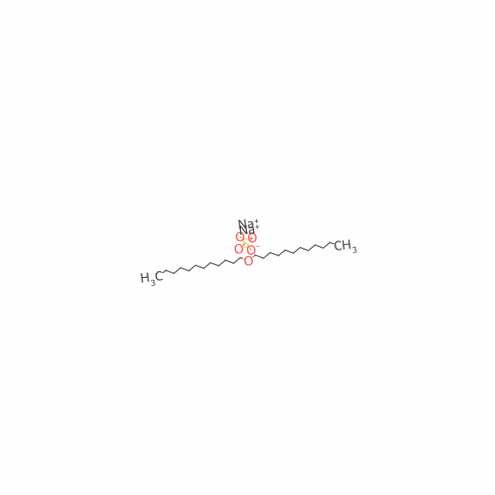 CCCCCCCCCCCCOCCCCCCCCCCCC.O=S(=O)([O-])[O-].[Na+].[Na+]